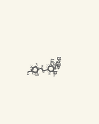 Cc1ccc(/C=C/c2cc(F)c(N=C=S)c(F)c2)cc1